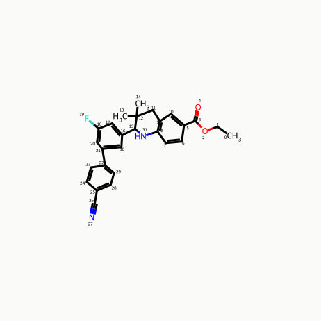 CCOC(=O)c1ccc2c(c1)CC(C)(C)C(c1cc(F)cc(-c3ccc(C#N)cc3)c1)N2